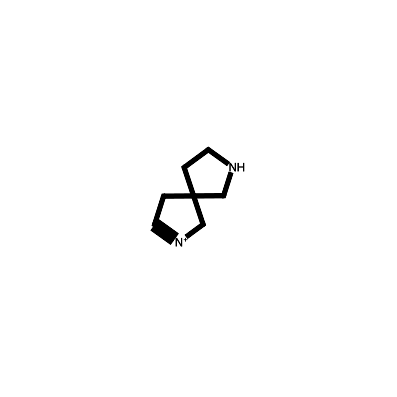 C1#[N+]CC2(C1)CCNC2